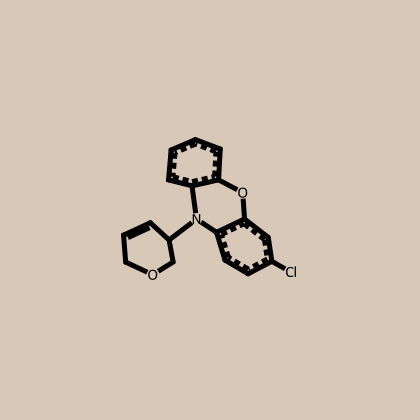 Clc1ccc2c(c1)Oc1ccccc1N2C1C=CCOC1